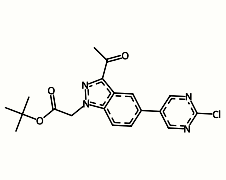 CC(=O)c1nn(CC(=O)OC(C)(C)C)c2ccc(-c3cnc(Cl)nc3)cc12